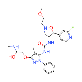 CNC(O)COc1nn(-c2ccccc2)c(NC(=O)N[C@@H]2CN(CCOC)O[C@H]2c2ccnc(F)c2)c1C